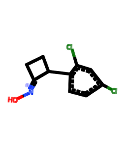 O/N=C1\CCC1c1ccc(Cl)cc1Cl